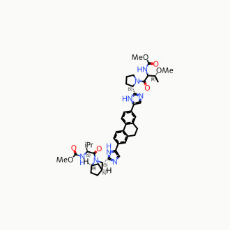 COC(=O)NC(C(=O)N1CCC[C@H]1c1ncc(-c2ccc3c(c2)CCc2cc(-c4cnc([C@@H]5[C@H]6CC[C@H](C6)N5C(=O)[C@@H](NC(=O)OC)C(C)C)[nH]4)ccc2-3)[nH]1)[C@@H](C)OC